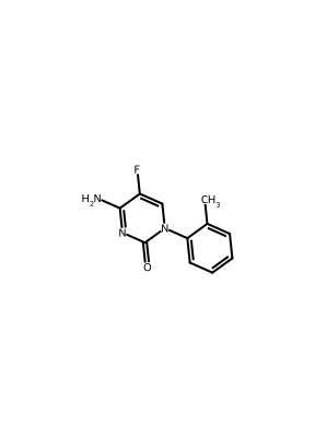 Cc1ccccc1-n1cc(F)c(N)nc1=O